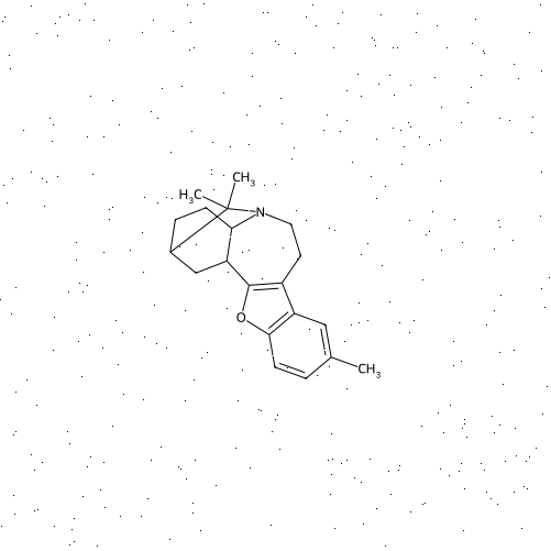 Cc1ccc2oc3c(c2c1)CCN1C2CCC(CC32)C1(C)C